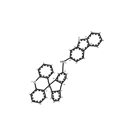 c1ccc2c(c1)Oc1ccccc1C21c2ccccc2-c2ccc(Nc3ccc4c(c3)oc3ccccc34)cc21